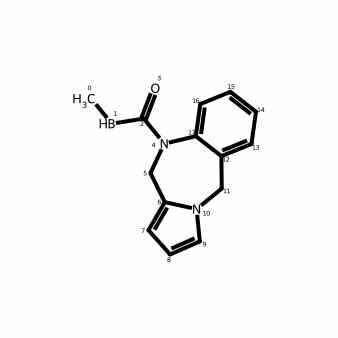 CBC(=O)N1Cc2cccn2Cc2ccccc21